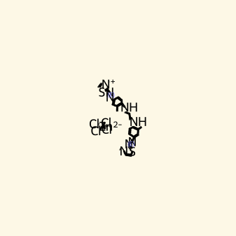 Cc1cc(/N=N/c2scc[n+]2C)ccc1NCCCNc1ccc(/N=N/c2scc[n+]2C)cc1C.[Cl][Zn-2]([Cl])([Cl])[Cl]